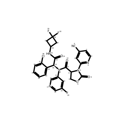 N#Cc1ccnc(N2C(=O)OCC2C(=O)N(c2cncc(F)c2)[C@H](C(=O)NC2CC(F)(F)C2)c2ccccc2Cl)c1